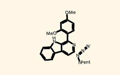 CCCCCN=[N+]=[N-].COc1ccc(-c2nccc3c2[nH]c2ccccc23)c(OC)c1